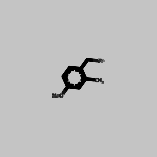 COc1ccc(C[C](C)C)c(C)c1